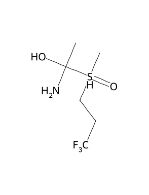 CC(N)(O)[SH](C)(=O)CCC(F)(F)F